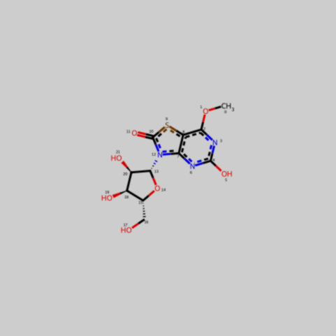 COc1nc(O)nc2c1sc(=O)n2[C@@H]1O[C@H](CO)[C@@H](O)[C@H]1O